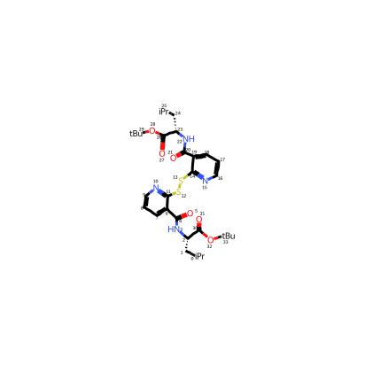 CC(C)C[C@H](NC(=O)c1cccnc1SSc1ncccc1C(=O)N[C@@H](CC(C)C)C(=O)OC(C)(C)C)C(=O)OC(C)(C)C